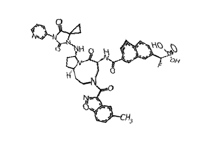 Cc1ccc2onc(C(=O)N3CC[C@H]4CC[C@@H](NN5C(=O)N(c6cccnc6)C(=O)C56CC6)N4C(=O)[C@@H](NC(=O)c4ccc5ccc([C@H](F)P(=O)(O)O)cc5c4)C3)c2c1